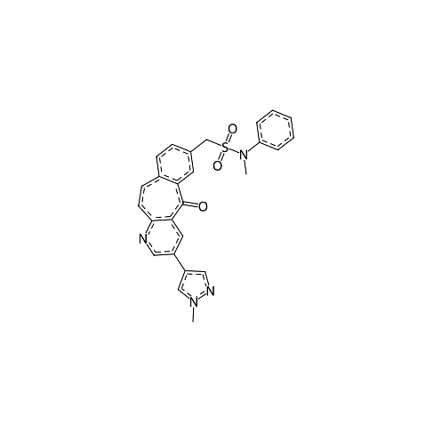 CN(c1ccccc1)S(=O)(=O)Cc1ccc2ccc3ncc(-c4cnn(C)c4)cc3c(=O)c2c1